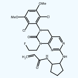 C=CC(=O)NC1CCCC1Nc1ncc2c(n1)N(CCF)C(=O)N(c1c(Cl)c(OC)cc(OC)c1Cl)C2